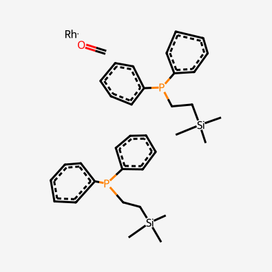 C=O.C[Si](C)(C)CCP(c1ccccc1)c1ccccc1.C[Si](C)(C)CCP(c1ccccc1)c1ccccc1.[Rh]